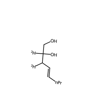 [2H]C(C=CCCC)C([2H])(O)CO